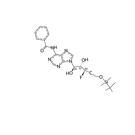 CC(C)(C)[Si](C)(C)OCC[C@@H](F)[C@@H](O)[C@@H](O)n1cnc2c(NC(=O)c3ccccc3)ncnc21